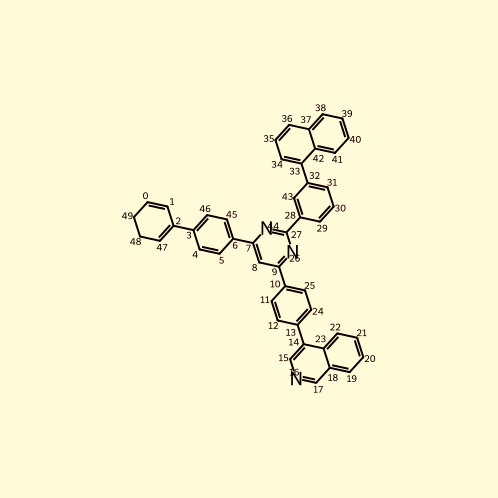 C1=CC(c2ccc(-c3cc(-c4ccc(-c5cncc6ccccc56)cc4)nc(-c4cccc(-c5cccc6ccccc56)c4)n3)cc2)=CCC1